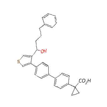 O=C(O)C1(c2ccc(-c3ccc(-c4cscc4C(O)CCCc4ccccc4)cc3)cc2)CC1